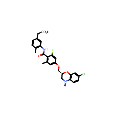 Cc1ccc(CC(=O)O)cc1NC(=O)c1c(C)cc(OC[C@@H]2CN(C)c3ccc(Cl)cc3O2)cc1F